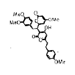 COc1ccc(CCc2cc(O)c(C(Cc3ccc(OC)c(OC)c3)c3cc(OC)cc(=O)o3)c(=O)o2)cc1